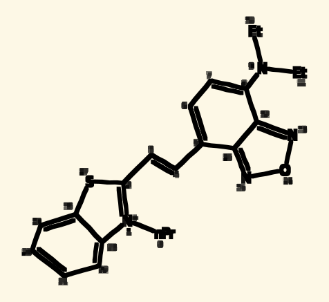 CCC[n+]1c(/C=C/c2ccc(N(CC)CC)c3nonc23)sc2ccccc21